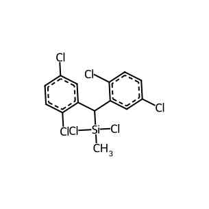 C[Si](Cl)(Cl)C(c1cc(Cl)ccc1Cl)c1cc(Cl)ccc1Cl